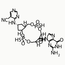 N#Cc1cncnc1N[C@@H]1C[C@@H]2COP(=O)(S)O[C@@H]3[C@H](O)[C@@H](COP(=O)(S)O[C@H]2C1)O[C@H]3n1cnc2c(=O)[nH]c(N)nc21